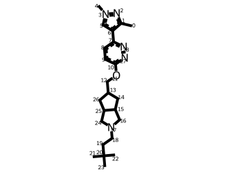 Cc1nn(C)cc1-c1ccc(OCC2CC3CN(CCC(C)(C)C)CC3C2)nn1